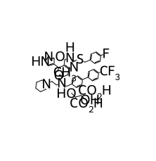 CC(c1cn[nH]c1)c1c(CC(=O)N(CCN2CCCCC2)Cc2ccc(-c3ccc(C(F)(F)F)cc3)cc2)nc(SCc2ccc(F)cc2)[nH]c1=O.O=C(O)C(O)C(O)C(=O)O